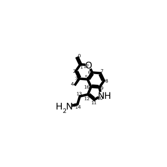 C=C1C=C(C)c2c(ccc3[nH]cc(CCN)c23)O1